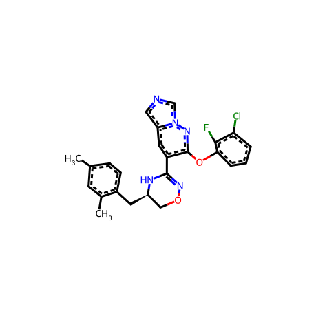 Cc1ccc(C[C@@H]2CON=C(c3cc4cncn4nc3Oc3cccc(Cl)c3F)N2)c(C)c1